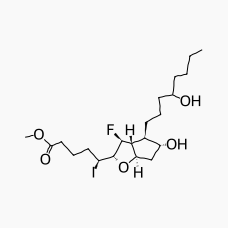 CCCCC(O)CCC[C@@H]1[C@H]2[C@H](F)[C@@H]([C@@H](I)CCCC(=O)OC)O[C@@H]2C[C@H]1O